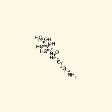 NCCOCCOCCC(=O)NC[C@H](O)[C@@H](O)[C@H](O)[C@H](O)CO